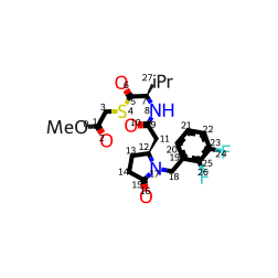 COC(=O)CSC(=O)[C@H](NC(=O)C[C@@H]1CCC(=O)N1Cc1cccc(F)c1F)C(C)C